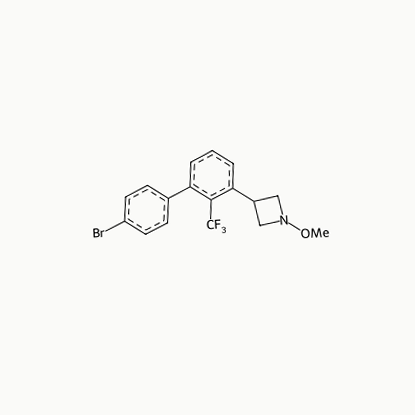 CON1CC(c2cccc(-c3ccc(Br)cc3)c2C(F)(F)F)C1